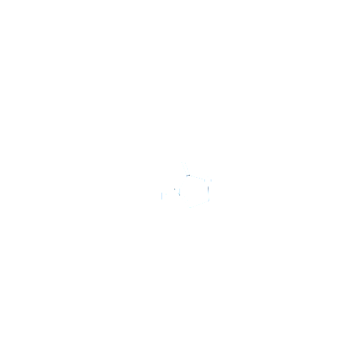 O=C1N=CCO1.P